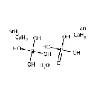 O.O=P(O)(O)O.O[Si](O)(O)O.[CaH2].[CaH2].[SrH2].[Zn]